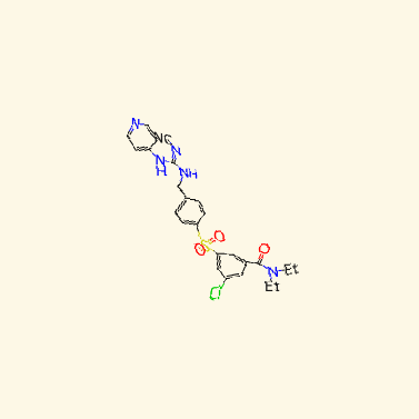 CCN(CC)C(=O)c1cc(Cl)cc(S(=O)(=O)c2ccc(CNC(=NC#N)Nc3ccncc3)cc2)c1